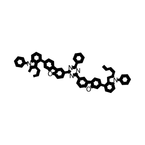 C=C/C=C\C1Cc2c(-c3ccc4c(c3)oc3ccc(-c5nc(-c6ccccc6)nc(-c6ccc7oc8cc(-c9cccc%10c9c(/C=C\C)c(C)n%10-c9ccccc9)ccc8c7c6)n5)cc34)cccc2N1c1ccccc1